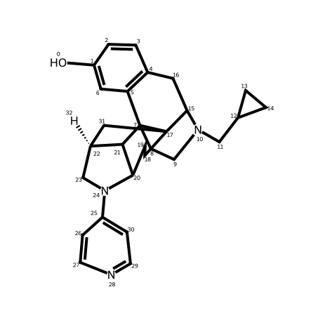 Oc1ccc2c(c1)C13CCN(CC4CC4)C(C2)C12CCC1C3[C@@H](CN1c1ccncc1)C2